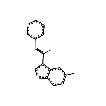 N/C(=C\c1cccnc1)c1c[nH]c2ccc(O)cc12